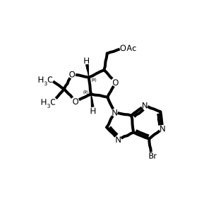 CC(=O)OCC1OC(n2cnc3c(Br)ncnc32)[C@@H]2OC(C)(C)O[C@H]12